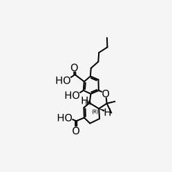 CCCCCc1cc2c(c(O)c1C(=O)O)[C@@H]1C=C(C(=O)O)CC[C@H]1C(C)(C)O2